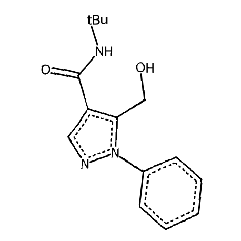 CC(C)(C)NC(=O)c1cnn(-c2ccccc2)c1CO